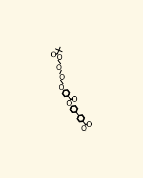 COC(=O)c1ccc(-c2ccc(OC(=O)c3ccc(OCCOCCOCCOC(=O)C(C)(C)C)cc3)cc2)cc1